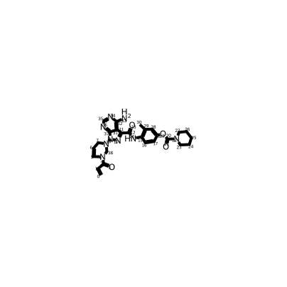 C=CC(=O)N1C=CCN(n2nc(C(=O)Nc3ccc(OC(=O)N4CCCCC4)cc3C)c3c(N)ncnc32)C1